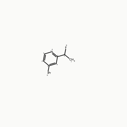 CC(C)c1ccnc(C(C)F)c1